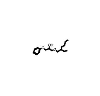 CCCCC(CC)COCC(O)COc1ccccc1